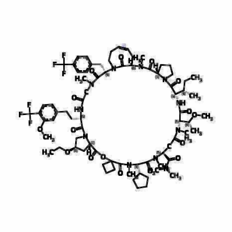 CCO[C@@H]1C[C@H]2C(=O)OC3(CCC3)C(=O)N(C)[C@@H](C3CCCC3)C(=O)N(C)[C@H](C(=O)N(C)C)CC(=O)N(C)[C@@H]([C@@H](C)OC)C(=O)N[C@@H]([C@@H](C)CC)C(=O)N3CCC[C@H]3C(=O)N(C)[C@H]3C/C=C\CCN(C3=O)[C@@H](Cc3ccc(C(F)(F)F)cc3)C(=O)N(C)CC(=O)N[C@@H](CCc3ccc(C(F)(F)F)c(OC)c3)C(=O)N2C1